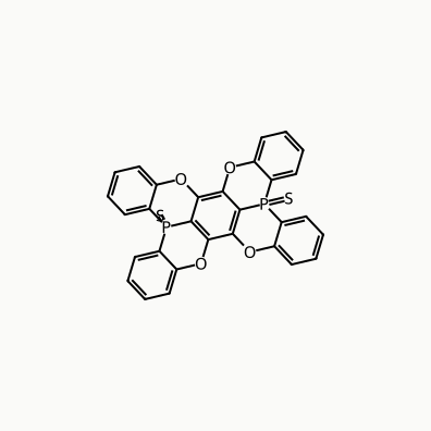 S=P12c3ccccc3Oc3c4c5c(c(c31)Oc1ccccc12)Oc1ccccc1P5(=S)c1ccccc1O4